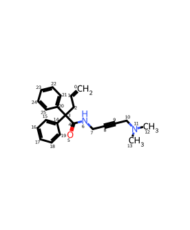 C=CCC(C(=O)NCC#CCN(C)C)(c1ccccc1)c1ccccc1